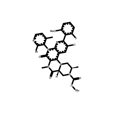 COc1cccc(F)c1-c1nc2c(cc1Cl)c1c(c(=O)n2-c2c(C)ccnc2C(C)C)N(C)C(=O)[C@H]2CN(C(=O)OC(C)(C)C)[C@H](C)CN12